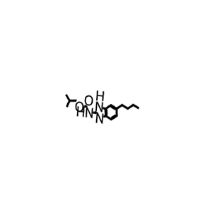 CCCCc1ccc2nc(NC(=O)OCC(C)C)[nH]c2c1